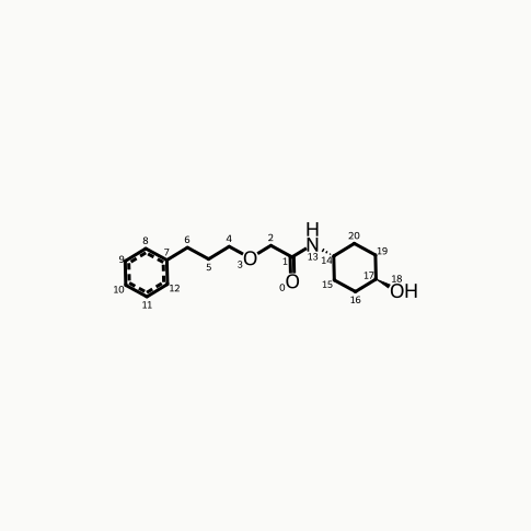 O=C(COCCCc1ccccc1)N[C@H]1CC[C@H](O)CC1